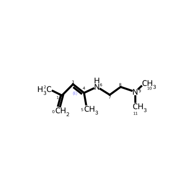 C=C(C)/C=C(\C)NCCN(C)C